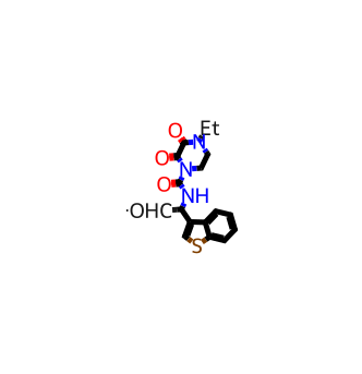 CCN1CCN(C(=O)NC([C]=O)c2csc3ccccc23)C(=O)C1=O